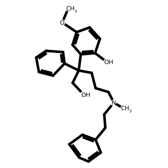 COc1ccc(O)c(C(CO)(CCCN(C)CCc2ccccc2)c2ccccc2)c1